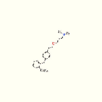 CCN(CC)CCCOCCc1ccc(Cc2ccccc2OC)cc1